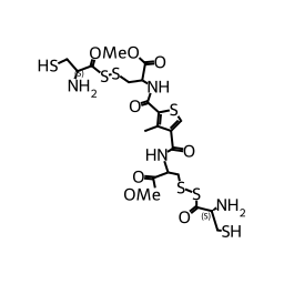 COC(=O)C(CSSC(=O)[C@@H](N)CS)NC(=O)c1csc(C(=O)NC(CSSC(=O)[C@@H](N)CS)C(=O)OC)c1C